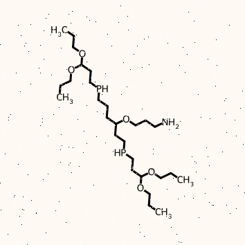 CCCOC(CCPCCCC(CCPCCC(OCCC)OCCC)OCCCN)OCCC